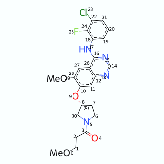 COCCC(=O)N1CC[C@@H](Oc2cc3ncnc(Nc4cccc(Cl)c4F)c3cc2OC)C1